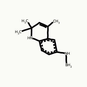 BNc1ccc2c(c1)C(C)=CC(C)(C)N2